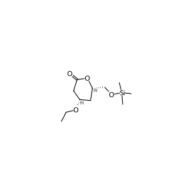 CCO[C@@H]1CC(=O)O[C@H](CO[Si](C)(C)C)C1